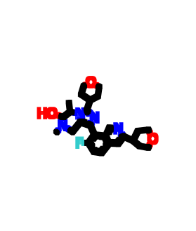 CC1C(O)N(C)Cc2c(-c3c(F)ccc4cc(C5CCOCC5)ncc34)nc(C3CCOCC3)n21